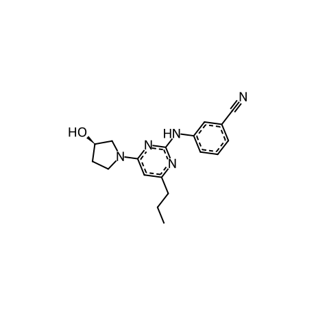 CCCc1cc(N2CC[C@@H](O)C2)nc(Nc2cccc(C#N)c2)n1